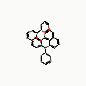 c1ccc(P(c2ccccc2)c2cccc3cccc([SiH2]c4ccccc4-c4ccccn4)c23)cc1